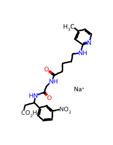 Cc1ccnc(NCCCCC(=O)NCC(=O)NC(CC(=O)O)c2cccc([N+](=O)[O-])c2)c1.[Na+]